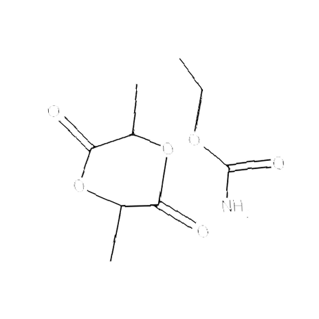 CC1OC(=O)C(C)OC1=O.CCOC(N)=O